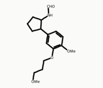 COCCCOc1cc(C2CCCC2NC=O)ccc1OC